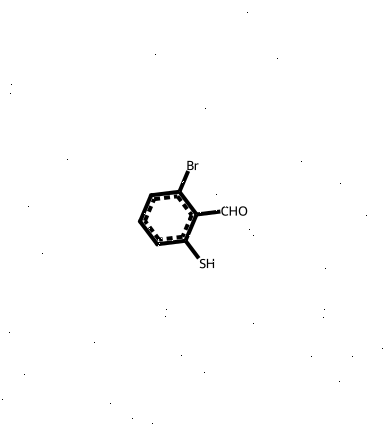 O=Cc1c(S)cccc1Br